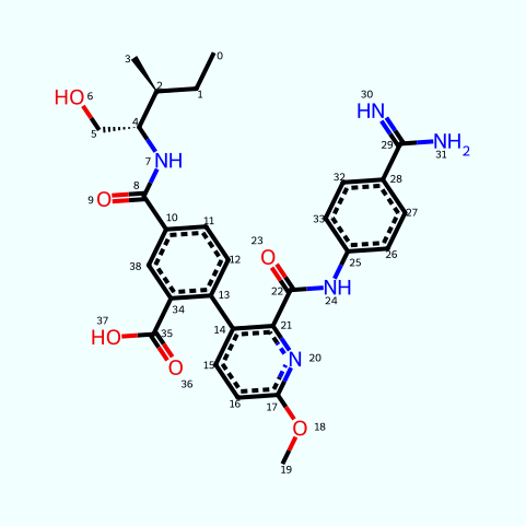 CC[C@H](C)[C@@H](CO)NC(=O)c1ccc(-c2ccc(OC)nc2C(=O)Nc2ccc(C(=N)N)cc2)c(C(=O)O)c1